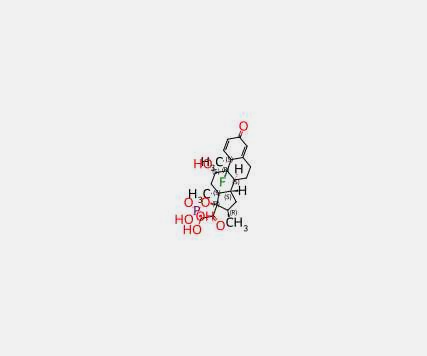 C[C@@H]1C[C@H]2[C@@H]3CCC4=CC(=O)C=C[C@]4(C)[C@@]3(F)[C@@H](O)C[C@]2(C)[C@@]1(OP(=O)(O)O)C(=O)CO